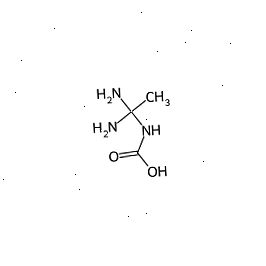 CC(N)(N)NC(=O)O